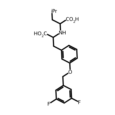 CC(C)CC(NC(Cc1cccc(OCc2cc(F)cc(F)c2)c1)C(=O)O)C(=O)O